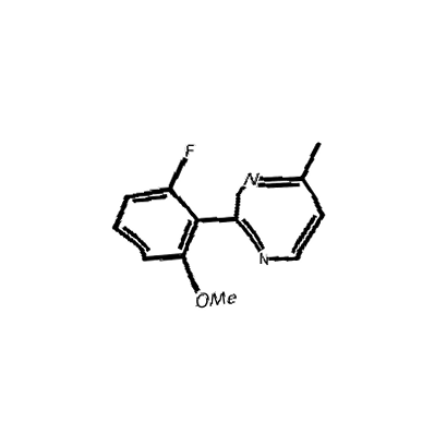 COc1cccc(F)c1-c1nccc(C)n1